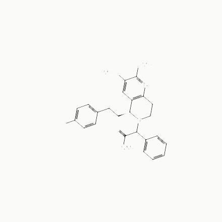 CNC(=O)C(c1ccccc1)N1CCc2nc(OC)c(OC)cc2[C@@H]1CCc1ccc(C(F)(F)F)cc1